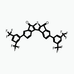 O=c1c2cc(-c3cc(C(F)(F)F)cc(C(F)(F)F)c3)ccc2c2c1sc1c(=O)c3cc(-c4cc(C(F)(F)F)cc(C(F)(F)F)c4)ccc3c12